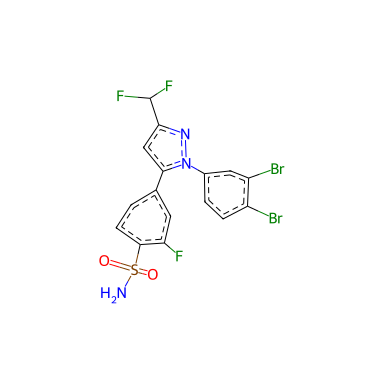 NS(=O)(=O)c1ccc(-c2cc(C(F)F)nn2-c2ccc(Br)c(Br)c2)cc1F